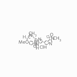 COc1ccc(S(=O)(=O)Nc2cc(-c3ccc4ncc5c(c4c3)C3(CCC3)C(=O)N5C)cnc2OCCCN(C)C)cc1.Cl